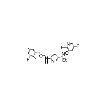 CC/C(=N\Oc1cc(F)cnc1F)c1ccc(NCOCc2cncc(F)c2C)nc1